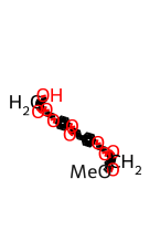 C=C(CO)C(=O)OCCOc1ccc(OC(=O)/C=C/c2ccc(OCCOC(=O)C(=C)CC(=O)OC)cc2)cc1